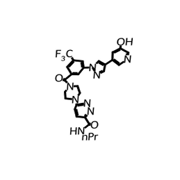 CCCNC(=O)c1ccc(N2CCN(C(=O)c3cc(-n4cc(-c5cncc(O)c5)cn4)cc(C(F)(F)F)c3)CC2)nn1